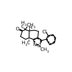 Cn1nc2c(c1-c1ccccc1Cl)CC[C@H]1C(C)(C)C(=O)CC[C@]21C